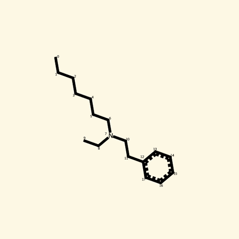 CCCCCCCN(CC)CCc1ccccc1